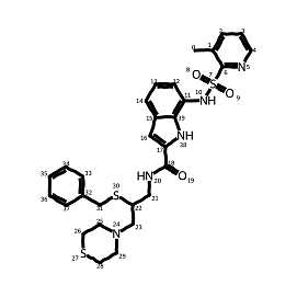 Cc1cccnc1S(=O)(=O)Nc1cccc2cc(C(=O)NCC(CN3CCSCC3)SCc3ccccc3)[nH]c12